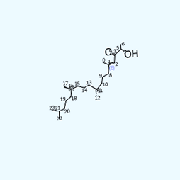 C/C(=C\C(=O)C(C)O)CCC[C@H](C)CCC[C@H](C)CCCC(C)C